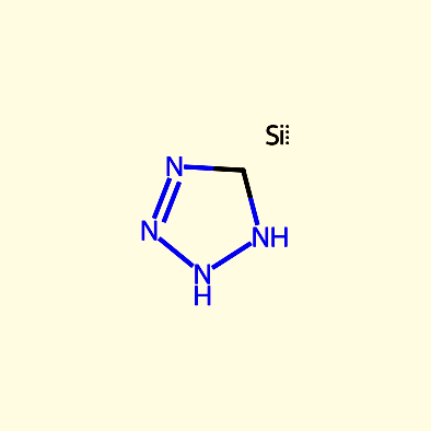 C1N=NNN1.[Si]